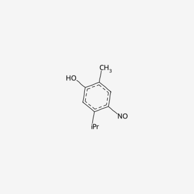 Cc1cc(N=O)c(C(C)C)cc1O